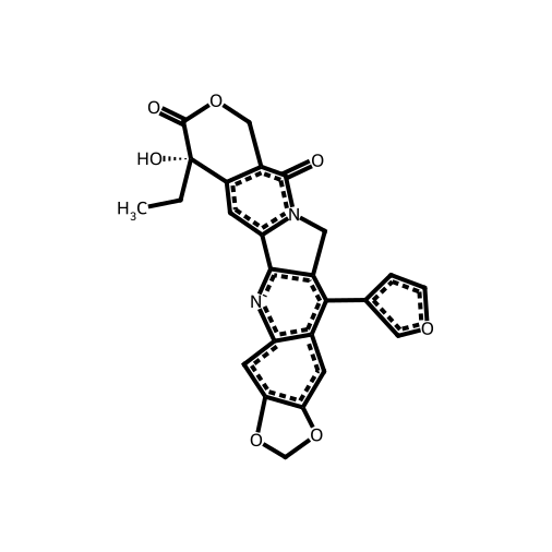 CC[C@@]1(O)C(=O)OCc2c1cc1n(c2=O)Cc2c-1nc1cc3c(cc1c2-c1ccoc1)OCO3